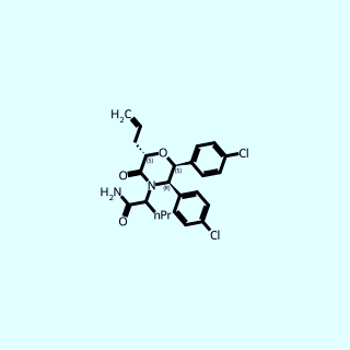 C=CC[C@@H]1O[C@@H](c2ccc(Cl)cc2)[C@@H](c2ccc(Cl)cc2)N(C(CCC)C(N)=O)C1=O